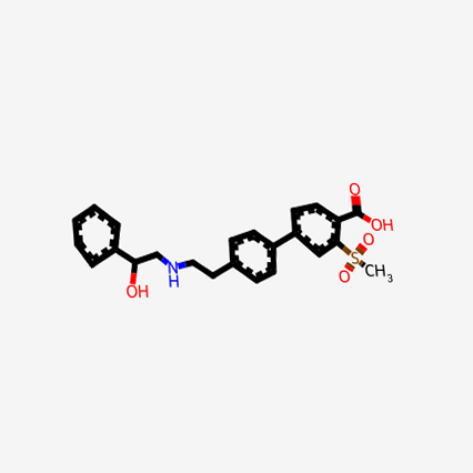 CS(=O)(=O)c1cc(-c2ccc(CCNCC(O)c3ccccc3)cc2)ccc1C(=O)O